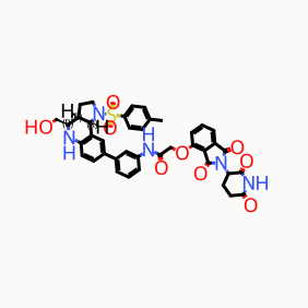 Cc1ccc(S(=O)(=O)N2CC[C@@H]3[C@H](CO)Nc4ccc(-c5cccc(NC(=O)COc6cccc7c6C(=O)N(C6CCC(=O)NC6=O)C7=O)c5)cc4[C@@H]32)cc1